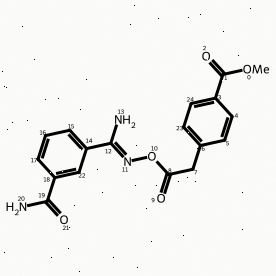 COC(=O)c1ccc(CC(=O)O/N=C(\N)c2cccc(C(N)=O)c2)cc1